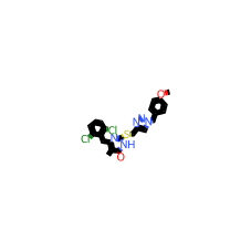 COc1ccc(Cn2cc(CSc3nc(Cc4c(Cl)cccc4Cl)c(C)c(=O)[nH]3)nn2)cc1